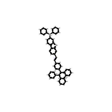 C(=C\c1ccc2c(c1)sc1cc(N(c3ccccc3)c3ccccc3)ccc12)/c1ccc(-c2c(-c3ccccc3)c3ccccc3c3ccccc23)cc1